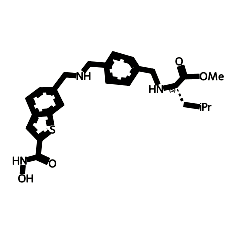 COC(=O)[C@H](CC(C)C)NCc1ccc(CNCc2ccc3cc(C(=O)NO)sc3c2)cc1